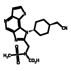 CS(=O)(=O)N(Cc1nc2cnc3ccsc3c2n1[C@H]1CC[C@H](CC#N)CC1)C(=O)O